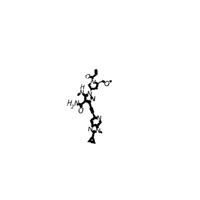 C=CC(=O)N1C[C@@H](n2nc(C#Cc3cc4nc(C5CC5)n(C)c4cn3)c(C(N)=O)c2NC)C[C@@H]1COC